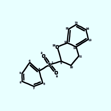 O=S(=O)(c1ccccc1)C1CCc2ccccc2O1